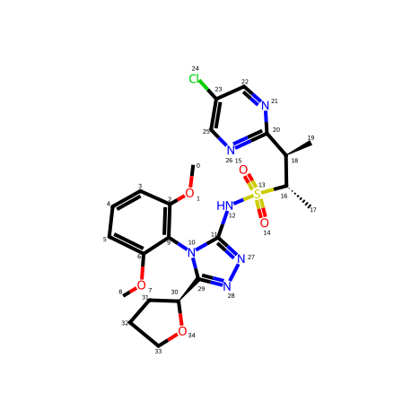 COc1cccc(OC)c1-n1c(NS(=O)(=O)[C@@H](C)[C@H](C)c2ncc(Cl)cn2)nnc1[C@@H]1CCCO1